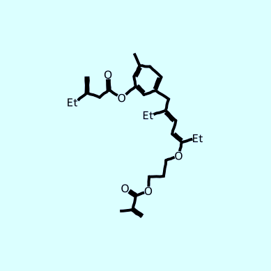 C=C(CC)CC(=O)OC1=CC(C/C(=C/C=C(\CC)OCCCOC(=O)C(=C)C)CC)=CCC(C)=C1